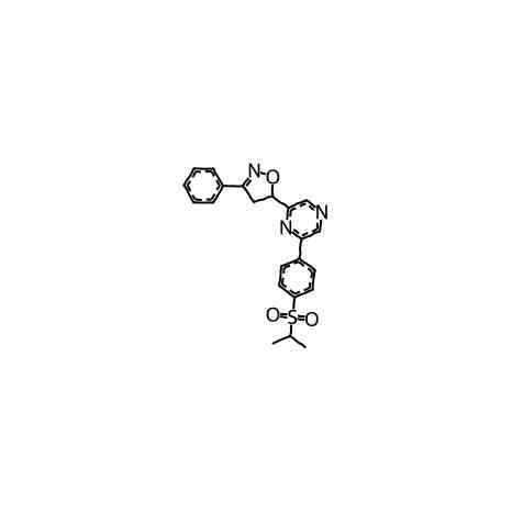 CC(C)S(=O)(=O)c1ccc(-c2cncc(C3CC(c4ccccc4)=NO3)n2)cc1